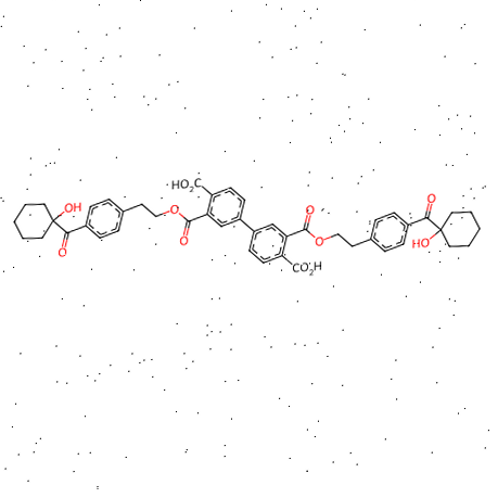 O=C(O)c1ccc(-c2ccc(C(=O)O)c(C(=O)OCCc3ccc(C(=O)C4(O)CCCCC4)cc3)c2)cc1C(=O)OCCc1ccc(C(=O)C2(O)CCCCC2)cc1